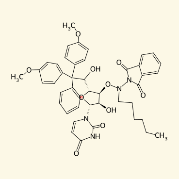 CCCCCCN(O[C@H]1[C@@H](O)[C@H](n2ccc(=O)[nH]c2=O)O[C@@H]1C(O)C(c1ccccc1)(c1ccc(OC)cc1)c1ccc(OC)cc1)N1C(=O)c2ccccc2C1=O